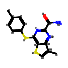 Cc1ccc(Sc2nc(C(N)=O)nc3c(C)csc23)cc1